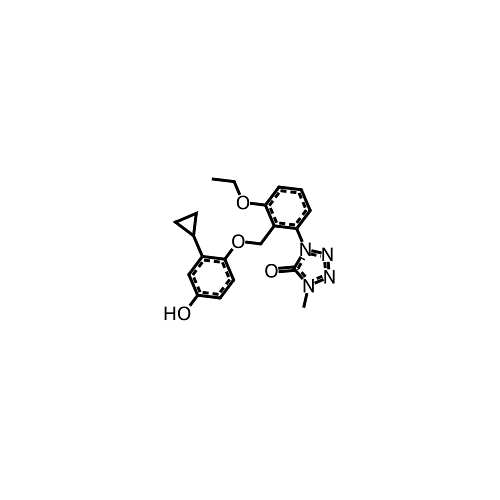 CCOc1cccc(-n2nnn(C)c2=O)c1COc1ccc(O)cc1C1CC1